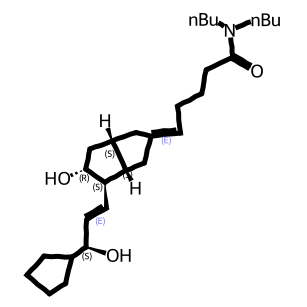 CCCCN(CCCC)C(=O)CCC/C=C1\C[C@H]2C[C@@H](O)[C@H](/C=C/[C@@H](O)C3CCCC3)[C@H]2C1